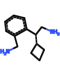 NCc1ccccc1C(CN)C1CCC1